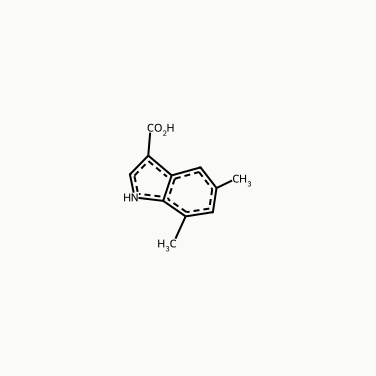 Cc1cc(C)c2[nH]cc(C(=O)O)c2c1